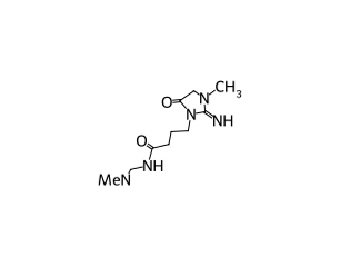 CNCNC(=O)CCCN1C(=N)N(C)CC1=O